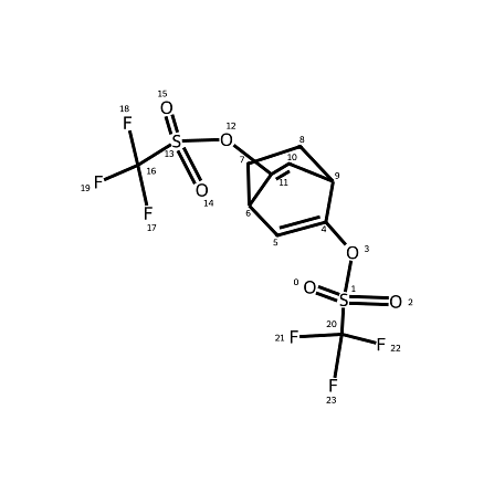 O=S(=O)(OC1=CC2CCC1C=C2OS(=O)(=O)C(F)(F)F)C(F)(F)F